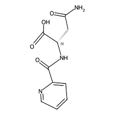 NC(=O)C[C@H](NC(=O)c1ccccn1)C(=O)O